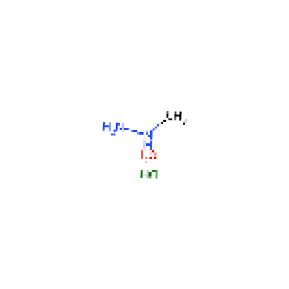 CNN.Cl.O